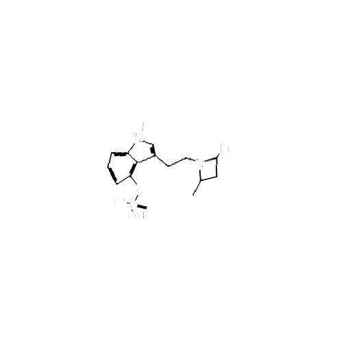 CCC1CC(C)N1CCc1c[nH]c2cccc(OP(=O)(O)O)c12